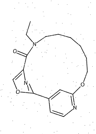 CCN1CCCCCCOc2cc(ccn2)-c2nc(co2)C1=O